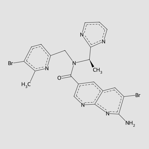 Cc1nc(CN(C(=O)c2cnc3nc(N)c(Br)cc3c2)[C@H](C)c2ncccn2)ccc1Br